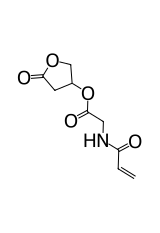 C=CC(=O)NCC(=O)OC1COC(=O)C1